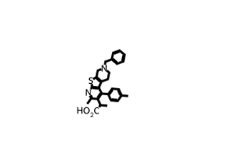 Cc1ccc(-c2c(C(C)C(=O)O)c(C)nc3sc4c(c23)CCN(Cc2ccccc2)C4)cc1